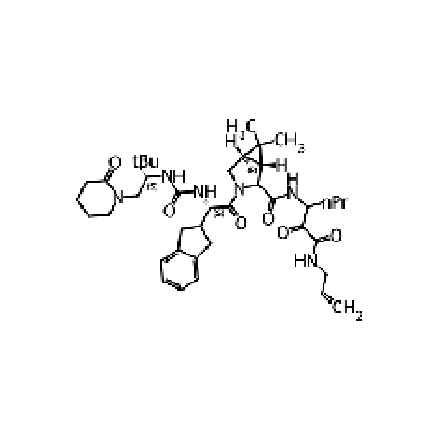 C=CCNC(=O)C(=O)C(CCC)NC(=O)C1[C@@H]2[C@H](CN1C(=O)[C@@H](NC(=O)N[C@H](CN1CCCCC1=O)C(C)(C)C)C1Cc3ccccc3C1)C2(C)C